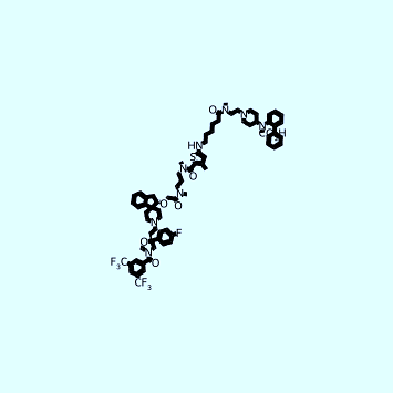 Cc1cc(NCCCCCC(=O)N(C)CCN2CCC(N(C(=O)O)c3ccccc3-c3ccccc3)CC2)sc1C(=O)N(C)CCCN(C)C(=O)CO[C@H]1Cc2ccccc2C12CCN(CC[C@@]1(c3ccc(F)cc3)CN(C(=O)c3cc(C(F)(F)F)cc(C(F)(F)F)c3)CO1)CC2